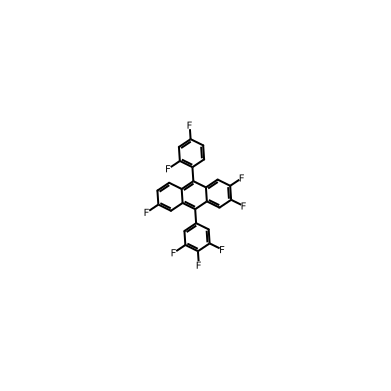 Fc1ccc(-c2c3ccc(F)cc3c(-c3cc(F)c(F)c(F)c3)c3cc(F)c(F)cc23)c(F)c1